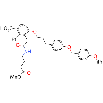 CCc1c(C(=O)O)ccc(OCCCc2ccc(OCc3ccc(OC(C)C)cc3)cc2)c1CC(=O)NCCCC(=O)OC